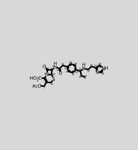 CC(=O)OCC1=C(C(=O)O)N2C(=O)C(NC(=O)Cc3ccc(C(CF)NCCc4c[nH]cn4)cc3)C2SC1